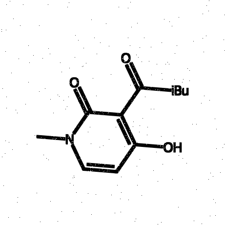 CCC(C)C(=O)c1c(O)ccn(C)c1=O